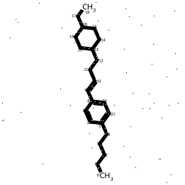 CCCCCc1ccc(C=CCCC2CCC(CC)CC2)cc1